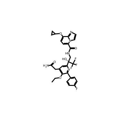 CCOc1c(CC(N)=O)cc([C@@](O)(CNC(=O)c2ccc(OC3CC3)c3nccn23)C(F)(F)F)nc1-c1ccc(F)cc1